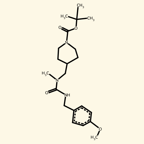 COc1ccc(CNC(=O)N(C)CC2CCN(C(=O)OC(C)(C)C)CC2)cc1